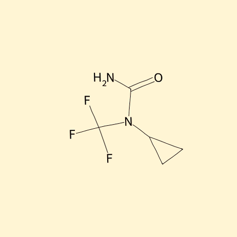 NC(=O)N(C1CC1)C(F)(F)F